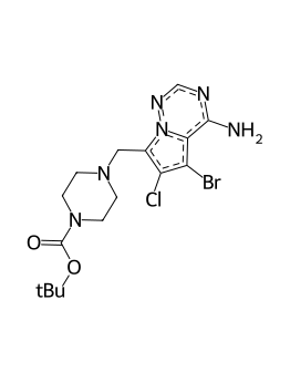 CC(C)(C)OC(=O)N1CCN(Cc2c(Cl)c(Br)c3c(N)ncnn23)CC1